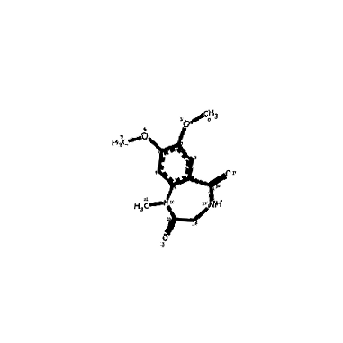 COc1cc2c(cc1OC)N(C)C(=O)CNC2=O